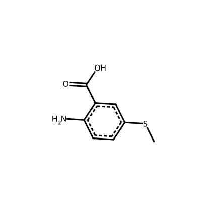 CSc1ccc(N)c(C(=O)O)c1